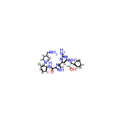 NCC1CCN(c2c(F)cccc2NC(=O)c2nc(-c3cc(N[C@@H](CO)c4ccccc4)nc(N)n3)c[nH]2)CC1